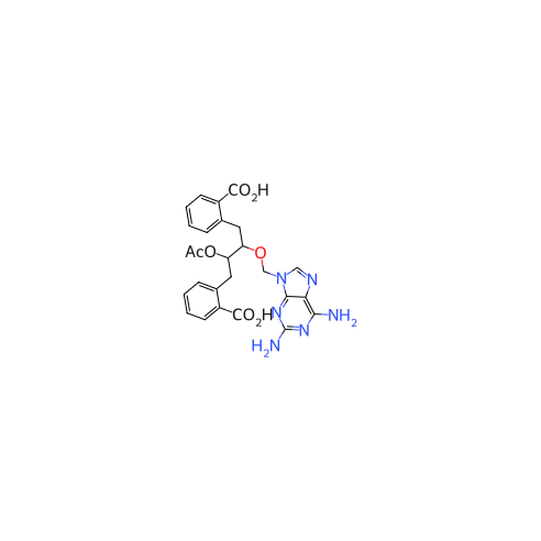 CC(=O)OC(Cc1ccccc1C(=O)O)C(Cc1ccccc1C(=O)O)OCn1cnc2c(N)nc(N)nc21